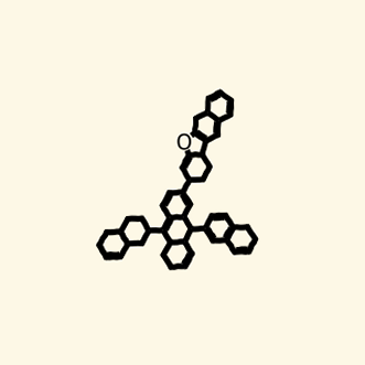 C1=CC2=CC3=C(CC2C=C1)OC1=CC(C2=CC4C(=C(C5CCC6CCC=CC6C5)C5CCC=CC5C4c4ccc5c(c4)C=CCC5)C=C2)CCC13